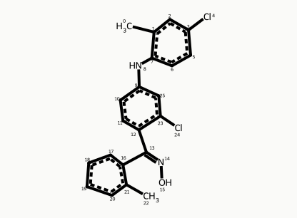 Cc1cc(Cl)ccc1Nc1ccc(C(=NO)c2ccccc2C)c(Cl)c1